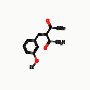 CCOc1cccc(C=C(C(=O)OC)C(=O)C(=O)O)c1